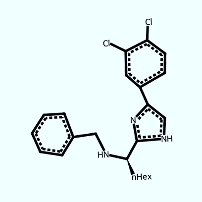 CCCCCC[C@@H](NCc1ccccc1)c1nc(-c2ccc(Cl)c(Cl)c2)c[nH]1